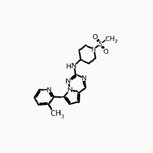 Cc1cccnc1-c1ccc2cnc(NC3CCN(S(C)(=O)=O)CC3)nn12